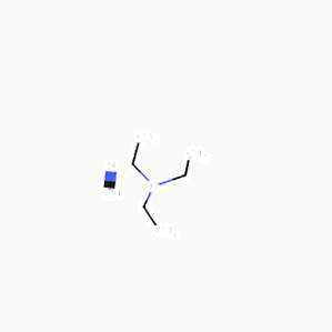 C#N.CCN(CC)CC